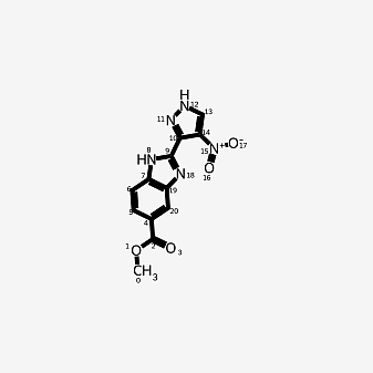 COC(=O)c1ccc2[nH]c(-c3n[nH]cc3[N+](=O)[O-])nc2c1